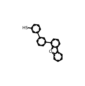 Sc1cccc(-c2cccc(-c3cccc4c3oc3ccccc34)c2)c1